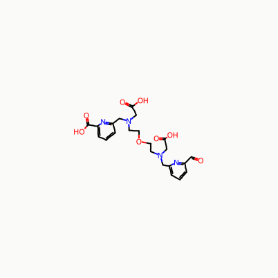 O=Cc1cccc(CN(CCOCCN(CC(=O)O)Cc2cccc(C(=O)O)n2)CC(=O)O)n1